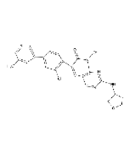 CCn1c(=O)c(-c2ccc(-c3cncc(C)n3)cc2Cl)cc2cnc(NC3CCOC3)nc21